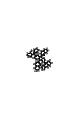 c1ccc2c(c1)Cc1ccccc1N2c1ccc2c(-c3ccc4ccccc4n3)c3cc(N4c5ccccc5Cc5ccccc54)ccc3c(-c3ccc4ccccc4n3)c2c1